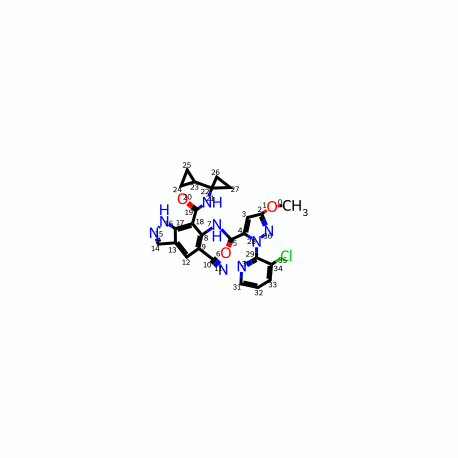 COc1cc(C(=O)Nc2c(C#N)cc3cn[nH]c3c2C(=O)NC2(C3CC3)CC2)n(-c2ncccc2Cl)n1